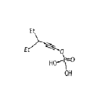 CCC(C#COP(=O)(O)O)CC